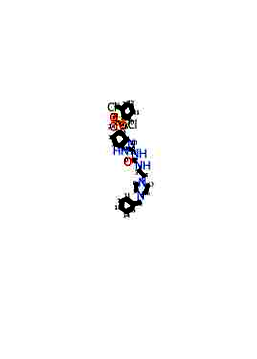 O=C(NCCN1CCN(Cc2ccccc2)CC1)Nc1nc2cc(OS(=O)(=O)c3c(Cl)cccc3Cl)ccc2[nH]1